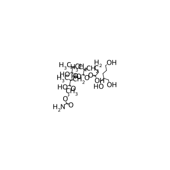 C=C(C)C(=O)O.C=C(C)C(=O)O.C=C(C)C(=O)O.C=CC(=O)O.CCOC(N)=O.OCCCC(CO)CO